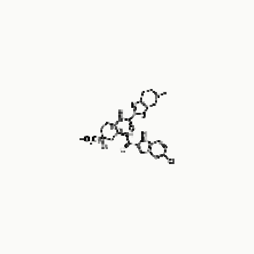 CC[C@@]1(C(=O)O)CC[C@@H](NC(=O)c2nc3c(s2)CN(C)CC3)[C@@H](NC(=O)c2cc3cc(Cl)ccc3[nH]2)C1